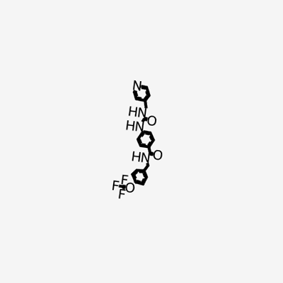 O=C(NCc1ccncc1)Nc1ccc(C(=O)NCc2ccc(OC(F)(F)F)cc2)cc1